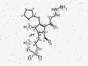 BNPOC(=O)C1=C(CN2CCCC2)[C@H](C)[C@@H]2[C@@H]([C@@H](C)O[Si](CC)(CC)CC)C(=O)N12